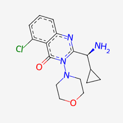 N[C@H](c1nc2cccc(Cl)c2c(=O)n1N1CCOCC1)C1CC1